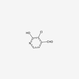 O=Cc1ccnc(O)c1Cl